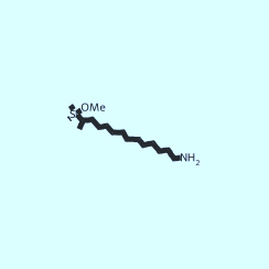 CO[Si](C)(C)C(C)CCCCCCCCCCCCN